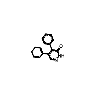 O=c1[nH]ncc(C2=CCCC=C2)c1-c1ccccc1